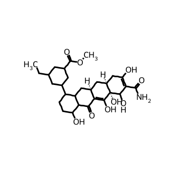 CCC1CC(C(=O)OC)CC(C2CCC(O)C3C(=O)C4=C(O)[C@]5(O)C(O)C(C(N)=O)=C(O)C[C@@H]5C[C@@H]4CC23)C1